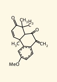 C=C1C(=O)C2C(C)(C)C(=O)C=C[C@]2(C)c2cc(OC)ccc21